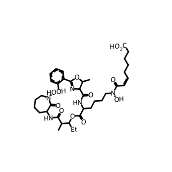 CCC(OC(=O)C(CCCCN(O)C(=O)/C=C\CCCCC(=O)O)NC(=O)C1N=C(c2ccccc2O)OC1C)C(C)C(=O)NC1CCCCN(O)C1=O